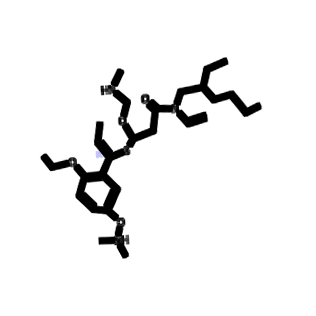 C=CN(CC(CC)CCCC)C(=O)CC(OCNC)S/C(=C\C)c1cc(O[SiH](C)C)ccc1OCC